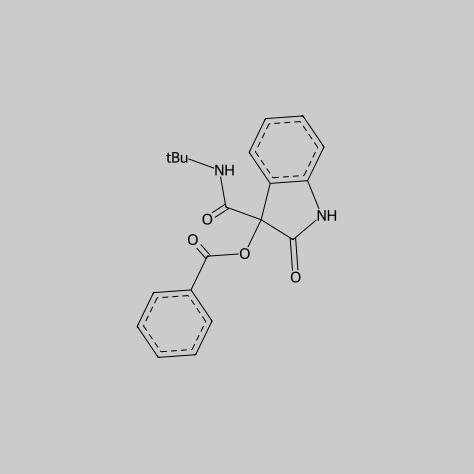 CC(C)(C)NC(=O)C1(OC(=O)c2ccccc2)C(=O)Nc2ccccc21